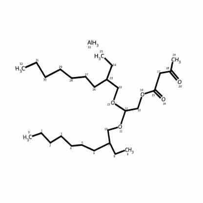 CCCCCCCC(CC)COC(COC(=O)CC(C)=O)OCC(CC)CCCCCCC.[AlH3]